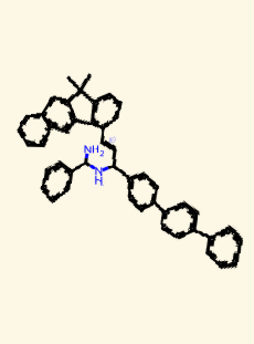 CC1(C)c2cc3ccccc3cc2-c2c(/C=C/C(NC(N)c3ccccc3)c3ccc(-c4ccc(-c5ccccc5)cc4)cc3)cccc21